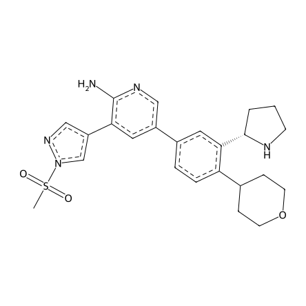 CS(=O)(=O)n1cc(-c2cc(-c3ccc(C4CCOCC4)c([C@@H]4CCCN4)c3)cnc2N)cn1